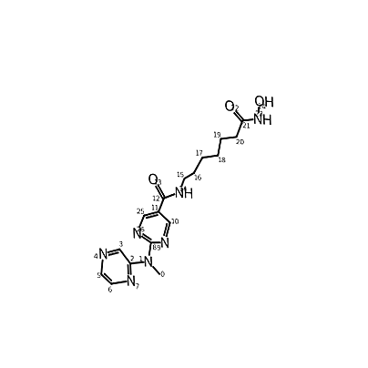 CN(c1cnccn1)c1ncc(C(=O)NCCCCCCC(=O)NO)cn1